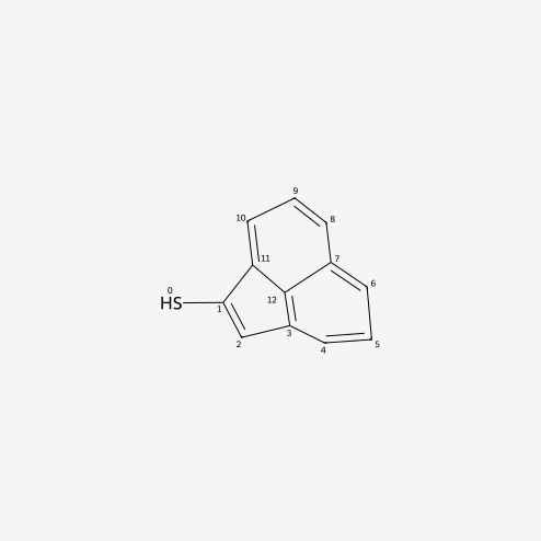 SC1=Cc2cccc3cccc1c23